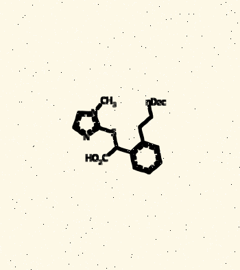 CCCCCCCCCCCCc1ccccc1C(Sc1nccn1C)C(=O)O